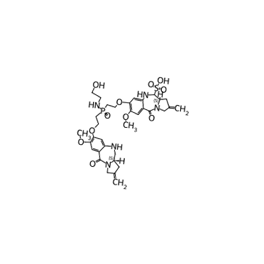 C=C1C[C@H]2CNc3cc(OCCP(=O)(CCOc4cc5c(cc4OC)C(=O)N4CC(=C)C[C@H]4C(S(=O)(=O)O)N5)NCCO)c(OC)cc3C(=O)N2C1